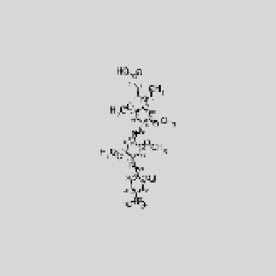 CCN(CCCC(=O)O)c1cc(OC)c(N=Nc2cc(OC)c(N=Nc3ccc([N+](=O)[O-])cc3Cl)cc2OC)cc1OC